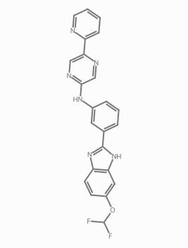 FC(F)Oc1ccc2nc(-c3cccc(Nc4cnc(-c5ccccn5)cn4)c3)[nH]c2c1